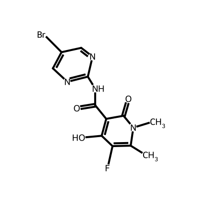 Cc1c(F)c(O)c(C(=O)Nc2ncc(Br)cn2)c(=O)n1C